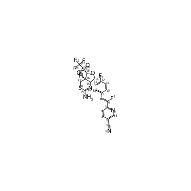 N#Cc1ccc(/C(F)=C/c2ccc(F)c([C@@]34CO[C@H](S(=O)(=O)C(F)(F)F)[C@H]3CSC(N)=N4)c2)nc1